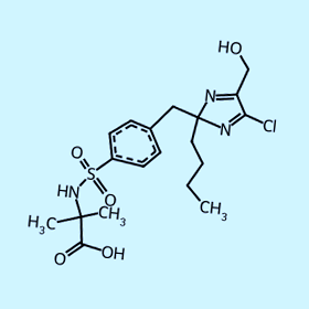 CCCCC1(Cc2ccc(S(=O)(=O)NC(C)(C)C(=O)O)cc2)N=C(Cl)C(CO)=N1